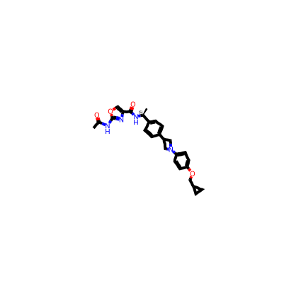 CC(=O)Nc1nc(C(=O)N[C@@H](C)c2ccc(C3CN(c4ccc(OCC5CC5)cc4)C3)cc2)co1